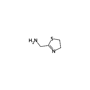 NCC1=NCCS1